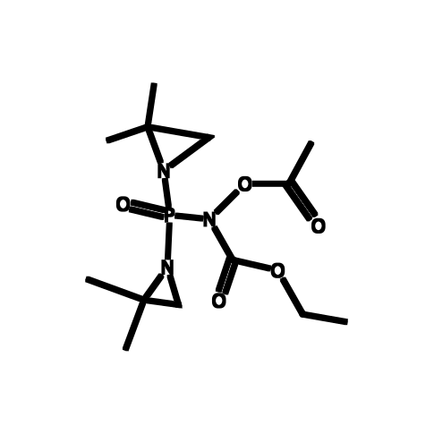 CCOC(=O)N(OC(C)=O)P(=O)(N1CC1(C)C)N1CC1(C)C